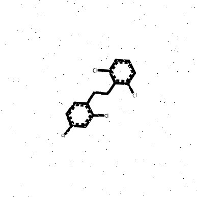 Clc1ccc(C[CH]c2c(Cl)cccc2Cl)c(Cl)c1